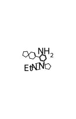 CCN1CCN(C2(c3ccc(N)c(C4=CCC5(CCCC5)CC4)c3)CCCC2)CC1